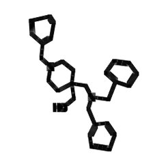 OCC1(CN(Cc2ccccc2)Cc2ccccc2)CCN(Cc2ccccc2)CC1